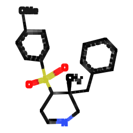 [CH2][C@@]1(Cc2ccccc2)CN=CCC1S(=O)(=O)c1ccc(OC)cc1